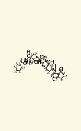 CC1(C(=O)NOCc2ccccc2)CCC(C(=O)N[C@@H](Cc2ccc(NC(=O)c3c(Cl)cccc3Cl)cc2)C(=O)O)C1(C)C